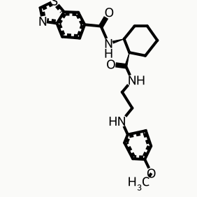 COc1ccc(NCCNC(=O)[C@@H]2CCCC[C@@H]2NC(=O)c2ccc3ncsc3c2)cc1